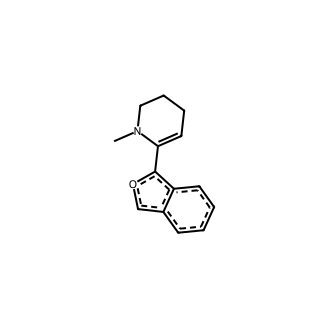 CN1CCCC=C1c1occ2ccccc12